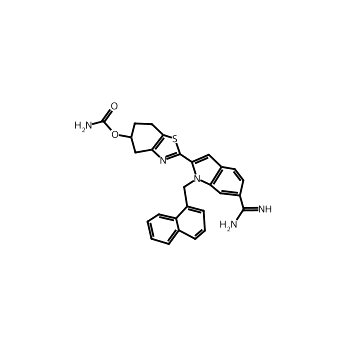 N=C(N)c1ccc2cc(-c3nc4c(s3)CCC(OC(N)=O)C4)n(Cc3cccc4ccccc34)c2c1